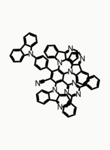 N#Cc1c(-c2ccc(-n3c4ccccc4c4ccccc43)cc2)c(-n2c3ccccc3c3ncccc32)c(-n2c3ccccc3c3ncccc32)c(-c2nc(-c3ccccc3)nc(-c3ccccc3)n2)c1-n1c2ccccc2c2ncccc21